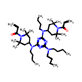 C=CC(=O)N1C(C)(C)CC(N(CCCC)c2nc(N(CCCC)CCCC)nc(N(CCCC)C3CC(C)(C)N(C(=O)C=C)C(C)(C)C3)n2)CC1(C)C